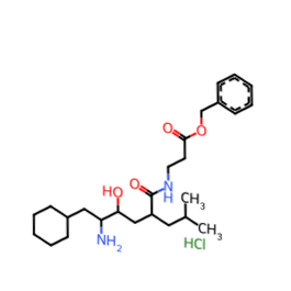 CC(C)CC(CC(O)C(N)CC1CCCCC1)C(=O)NCCC(=O)OCc1ccccc1.Cl